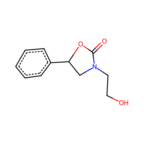 O=C1OC(c2ccccc2)CN1CCO